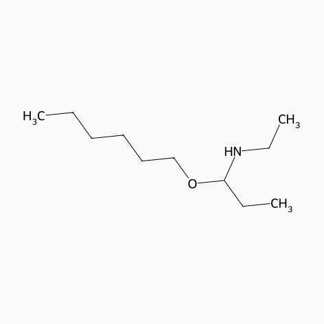 CCCCCCOC(CC)NCC